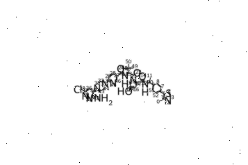 Cc1ncsc1-c1ccc(C(C)NC(=O)[C@@H]2C[C@@H](O)CN2C(=O)C(NC(=O)c2ccc(N3CCN(c4cc(Cl)nnc4N)CC3)nc2)C(C)(C)C)cc1